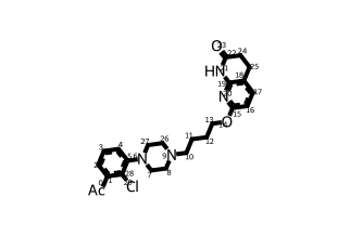 CC(=O)c1cccc(N2CCN(CCCCOc3ccc4c(n3)NC(=O)CC4)CC2)c1Cl